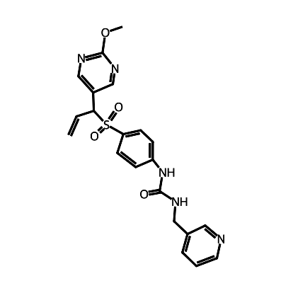 C=CC(c1cnc(OC)nc1)S(=O)(=O)c1ccc(NC(=O)NCc2cccnc2)cc1